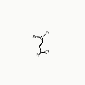 CCN(CC)CCN(CC)CC